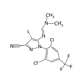 CN(C)C=Nc1c(I)c(C#N)nn1-c1c(Cl)cc(C(F)(F)F)cc1Cl